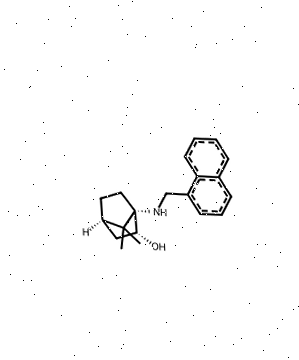 CC1(C)[C@@H]2CC[C@@]1(NCc1cccc3ccccc13)[C@H](O)C2